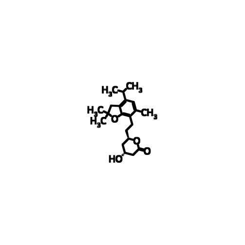 Cc1cc(C(C)C)c2c(c1CC[C@@H]1C[C@@H](O)CC(=O)O1)OC(C)(C)C2